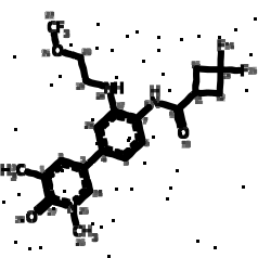 Cc1cc(-c2ccc(NC(=O)C3CC(F)(F)C3)c(NCCOC(F)(F)F)c2)cn(C)c1=O